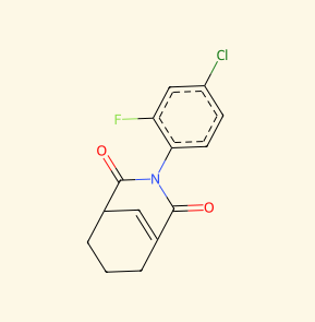 O=C1C2=CC(CCC2)C(=O)N1c1ccc(Cl)cc1F